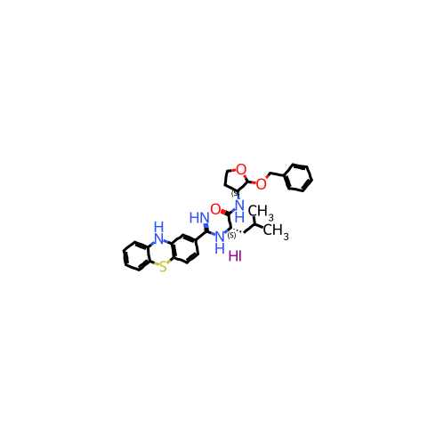 CC(C)C[C@H](NC(=N)c1ccc2c(c1)Nc1ccccc1S2)C(=O)N[C@H]1CCOC1OCc1ccccc1.I